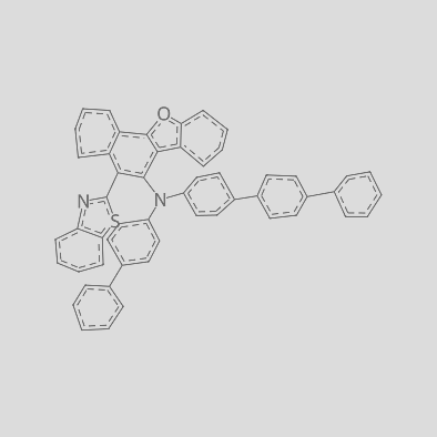 c1ccc(-c2ccc(-c3ccc(N(c4ccc(-c5ccccc5)cc4)c4c(-c5nc6ccccc6s5)c5ccccc5c5oc6ccccc6c45)cc3)cc2)cc1